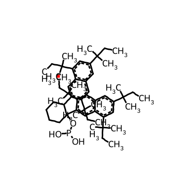 CCC(C)(C)c1cc(C(C)(C)CC)c2cc(C3CCCCC3(OP(O)O)c3cc4c(C(C)(C)CC)cc(C(C)(C)CC)cc4cc3C(C)(C)CC)c(C(C)(C)CC)cc2c1